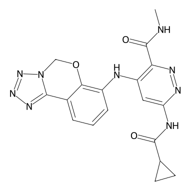 CNC(=O)c1nnc(NC(=O)C2CC2)cc1Nc1cccc2c1OCn1nnnc1-2